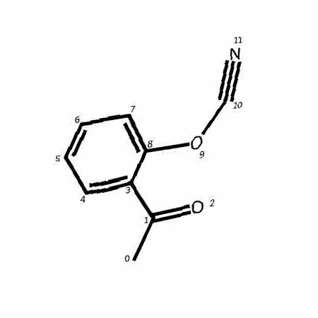 CC(=O)c1ccccc1OC#N